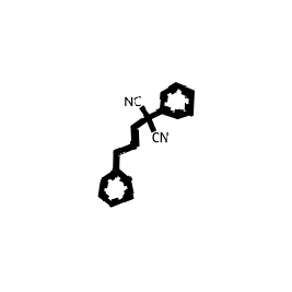 N#CC(C#N)(C=CCc1ccccc1)c1ccccc1